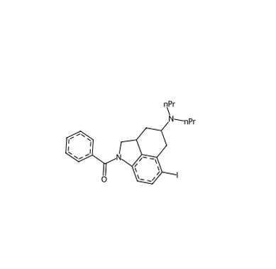 CCCN(CCC)C1Cc2c(I)ccc3c2C(C1)CN3C(=O)c1ccccc1